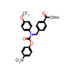 COC(=O)c1ccc(CN(C(=O)Oc2ccc([N+](=O)[O-])cc2)c2ccc(OC(F)(F)F)cc2)cc1